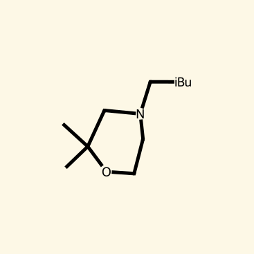 CCC(C)CN1CCOC(C)(C)C1